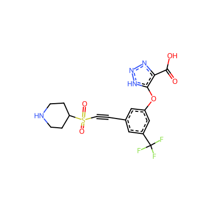 O=C(O)c1nn[nH]c1Oc1cc(C#CS(=O)(=O)C2CCNCC2)cc(C(F)(F)F)c1